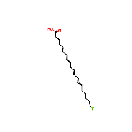 O=C(O)CCCC=CCC=CCC=CCC=CCCCCCF